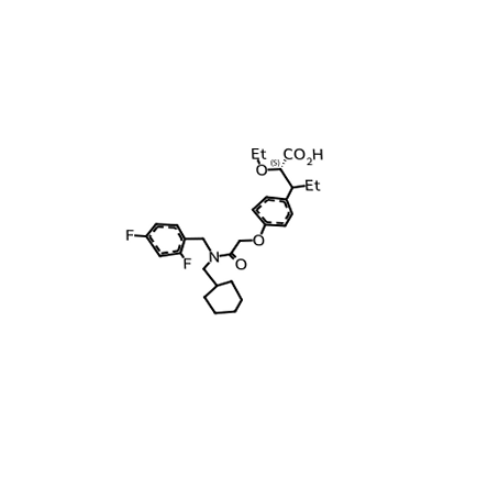 CCO[C@H](C(=O)O)C(CC)c1ccc(OCC(=O)N(Cc2ccc(F)cc2F)CC2CCCCC2)cc1